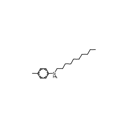 CCCCCCCCCC[SiH](C)c1ccc(C)cc1